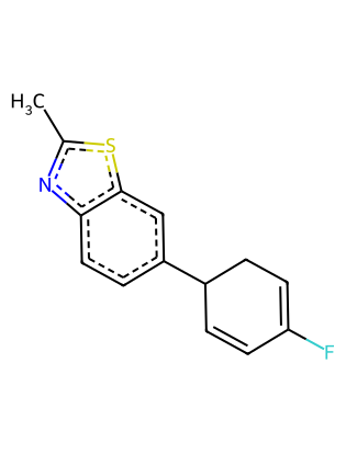 Cc1nc2ccc(C3C=CC(F)=CC3)cc2s1